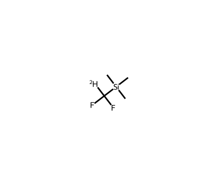 [2H]C(F)(F)[Si](C)(C)C